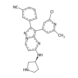 Cc1cc(-c2c(-c3cccc(C#N)c3)nn3ccc(N[C@H]4CCNC4)nc23)cc(Cl)n1